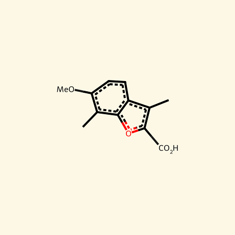 COc1ccc2c(C)c(C(=O)O)oc2c1C